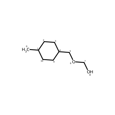 CC1CCC(COCO)CC1